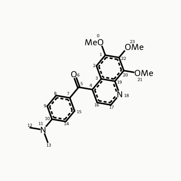 COc1cc2c(C(=O)c3ccc(N(C)C)cc3)ccnc2c(OC)c1OC